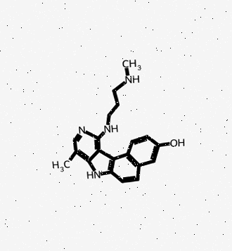 CNCCCNc1ncc(C)c2[nH]c3ccc4cc(O)ccc4c3c12